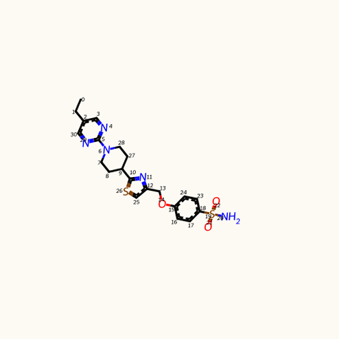 CCc1cnc(N2CCC(c3nc(COc4ccc(S(N)(=O)=O)cc4)cs3)CC2)nc1